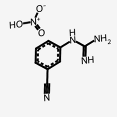 N#Cc1cccc(NC(=N)N)c1.O=[N+]([O-])O